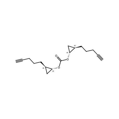 C#CCCC[C@@H]1C[C@H]1OC(=O)O[C@@H]1C[C@H]1CCCC#C